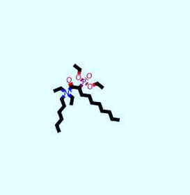 CCCCCCCCC(C(=O)[N+](CC)(CC)CCCCCC)P(=O)(OCC)OCC